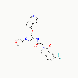 O=C(CN1CCc2ccc(C(F)(F)F)cc2C1=O)NC1CN(C2CCOC2)C[C@@H]1OC1CCc2cnccc21